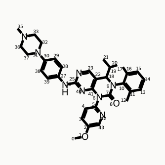 COc1ccc(N2C(=O)N(c3c(C)cccc3C)C(C(C)C)c3cnc(Nc4ccc(N5CCN(C)CC5)cc4)nc32)nc1